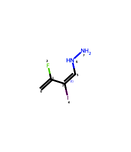 C=C(F)/C(I)=C\NN